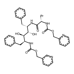 CC(C)[C@H](NC(=O)OCc1ccccn1)C(=O)N[C@@H](Cc1ccccc1)[C@H](O)[C@H](O)[C@H](Cc1ccccc1)NC(=O)OCc1cccnc1